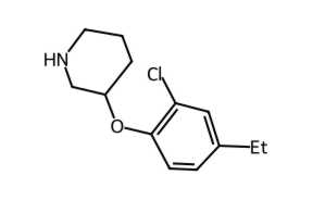 CCc1ccc(OC2CCCNC2)c(Cl)c1